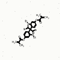 C=C(C)C(=O)Oc1ccc(C(c2ccc(OC(=O)C(=C)C)cc2OCC)(C(Br)Br)C(Br)Br)c(OCC)c1